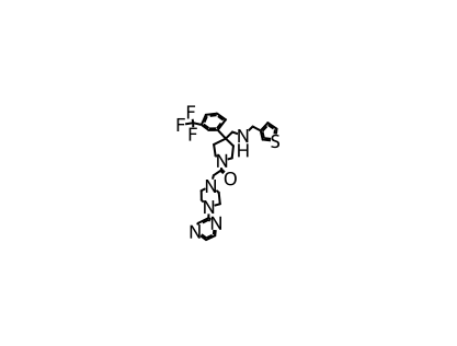 O=C(CN1CCN(c2cnccn2)CC1)N1CCC(CNCc2ccsc2)(c2cccc(C(F)(F)F)c2)CC1